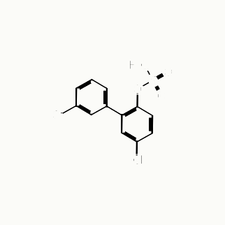 O=S(=O)(Oc1ccc(Cl)cc1-c1cccc(Cl)c1)C(F)(F)F